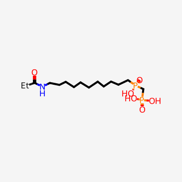 CCC(=O)NCCCCCCCCCCCP(=O)(O)CP(=O)(O)O